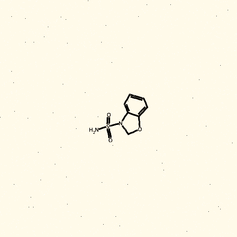 NS(=O)(=O)N1COc2ccccc21